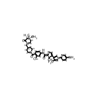 Cn1c(-c2cn(-c3ccc(N)cn3)nc2C(F)(F)F)cnc1C(=O)Nc1ccc(C(=O)N2CCC(CN3CC[N+](C)(C)CC3=O)CC2)c(Cl)c1